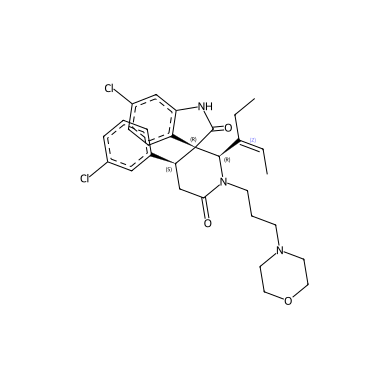 C/C=C(/CC)[C@H]1N(CCCN2CCOCC2)C(=O)C[C@@H](c2cccc(Cl)c2)[C@]12C(=O)Nc1cc(Cl)ccc12